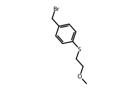 COCCSc1ccc(CBr)cc1